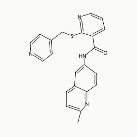 Cc1ccc2cc(NC(=O)c3cccnc3SCc3ccncc3)ccc2n1